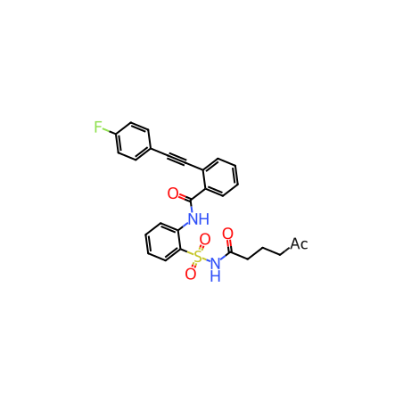 CC(=O)CCCC(=O)NS(=O)(=O)c1ccccc1NC(=O)c1ccccc1C#Cc1ccc(F)cc1